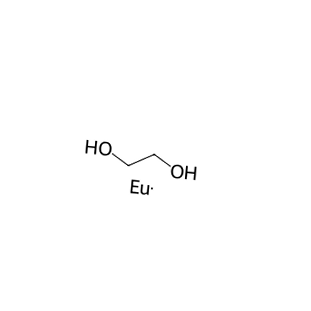 OCCO.[Eu]